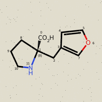 O=C(O)[C@]1(Cc2ccoc2)CCCN1